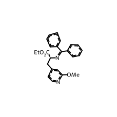 CCOC(=O)[C@H](Cc1ccnc(OC)c1)N=C(c1ccccc1)c1ccccc1